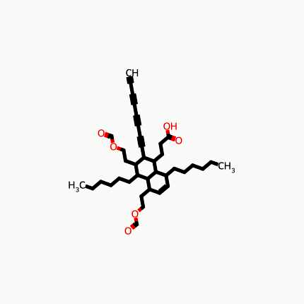 C#CC#CC#CC#CC1C(CCOC=O)C(CCCCCC)C2C(CCOC=O)C=CC(CCCCCC)C2C1CCC(=O)O